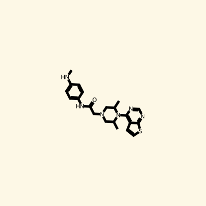 CNc1ccc(NC(=O)CN2CC(C)N(c3ncnc4sccc34)C(C)C2)cc1